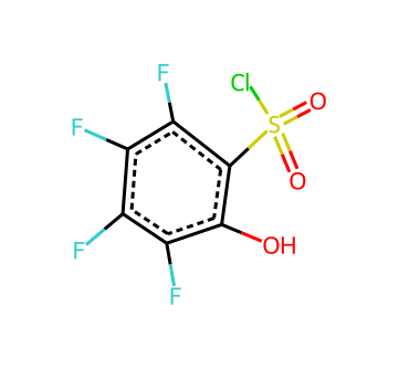 O=S(=O)(Cl)c1c(O)c(F)c(F)c(F)c1F